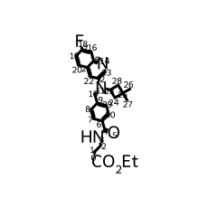 CCOC(=O)CCNC(=O)c1ccc(CN(c2cnc3cc(F)ccc3c2)C2CC(C)(C)C2)cc1